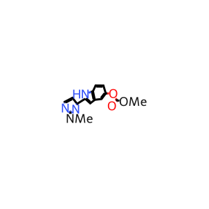 CNc1nccc(-c2cc3cc(OC(=O)OC)ccc3[nH]2)n1